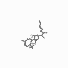 CCCCCC(C)C(C)c1cc(O)c2c(c1)OC(C)(C)[C@@H]1CC=C(C)CC[C@@H]21